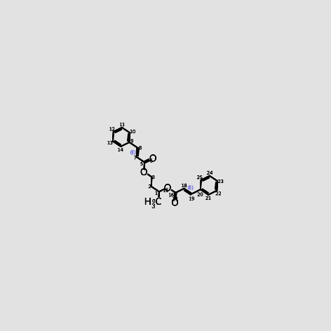 CC(CCOC(=O)/C=C/c1ccccc1)OC(=O)/C=C/c1ccccc1